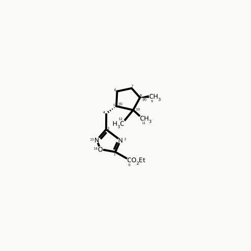 CCOC(=O)c1nc(C[C@@H]2CC[C@@H](C)C2(C)C)no1